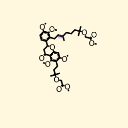 COC(=O)COC(C)(C)CCC/C(C)=C/Cc1c(C2CC(=O)c3c(cc(OC)c(CCC(C)(C)OCC(=O)OC)c3OC)O2)ccc(OC)c1OC